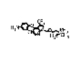 Cc1cc(N)ccc1Oc1ccnc2c1c(C(F)(F)F)cn2COCCS(C)(C)C